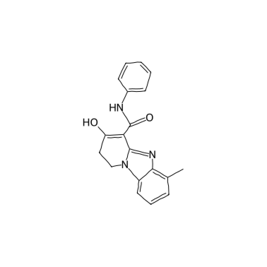 Cc1cccc2c1nc1n2CCC(O)=C1C(=O)Nc1ccccc1